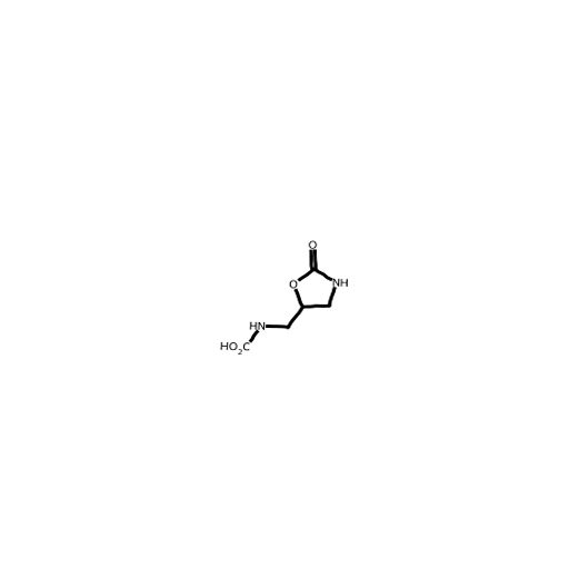 O=C(O)NCC1CNC(=O)O1